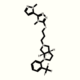 Cn1nccc1-c1nnc(SCCCN2C[C@@H]3CCN(c4ccccc4C(F)(F)F)[C@@H]3C2)n1C